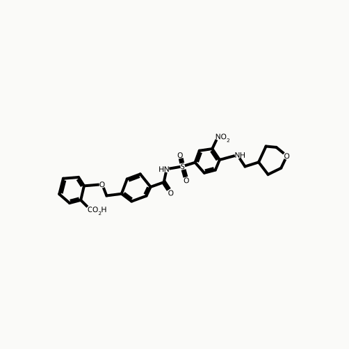 O=C(NS(=O)(=O)c1ccc(NCC2CCOCC2)c([N+](=O)[O-])c1)c1ccc(COc2ccccc2C(=O)O)cc1